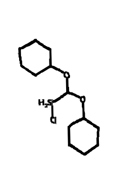 Cl[SiH2]C(OC1CCCCC1)OC1CCCCC1